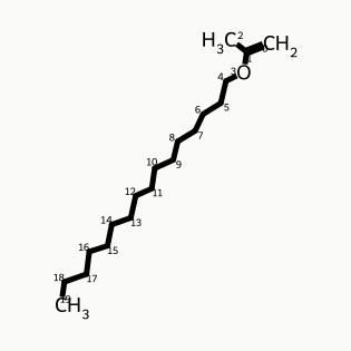 C=C(C)OCCCCCCCCCCCCCCCC